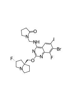 O=C1CCCN1CNc1nc(OC[C@@]23CCCN2C[C@H](F)C3)nc2c(F)c(Br)c(I)cc12